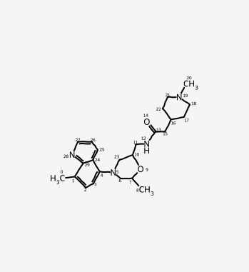 Cc1ccc(N2CC(C)OC(CNC(=O)CC3CCN(C)CC3)C2)c2cccnc12